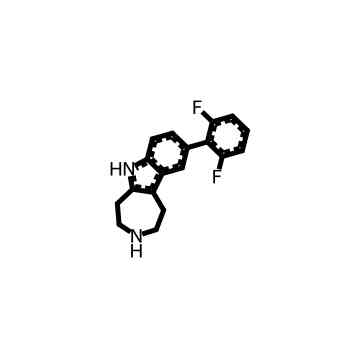 Fc1cccc(F)c1-c1ccc2[nH]c3c(c2c1)CCNCC3